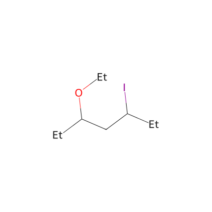 [CH2]CC(CC(I)CC)OCC